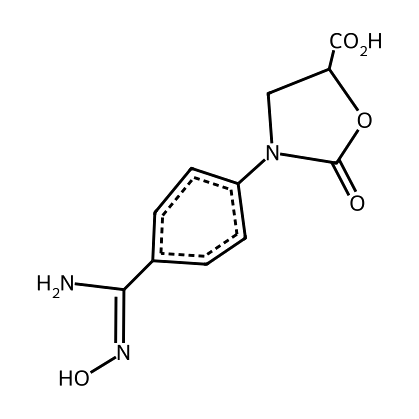 NC(=NO)c1ccc(N2CC(C(=O)O)OC2=O)cc1